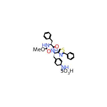 COC(=O)N[C@@H](Cc1ccccc1)C(=O)N[C@@H](CC1=CCC(NS(=O)(=O)O)C=C1)c1csc(-c2ccccc2)n1